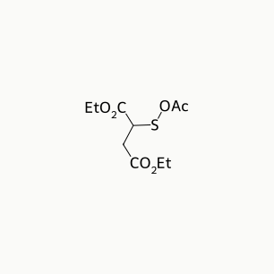 CCOC(=O)CC(SOC(C)=O)C(=O)OCC